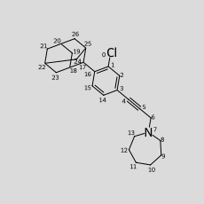 Clc1cc(C#CCN2CCCCCC2)ccc1C1C2CC3CC(C2)CC1C3